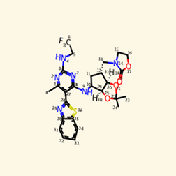 Cc1nc(NCC(F)(F)F)nc(NC2C[C@H](CN3CCOC3=O)[C@H]3OC(C)(C)O[C@@H]23)c1-c1nc2ccccc2s1